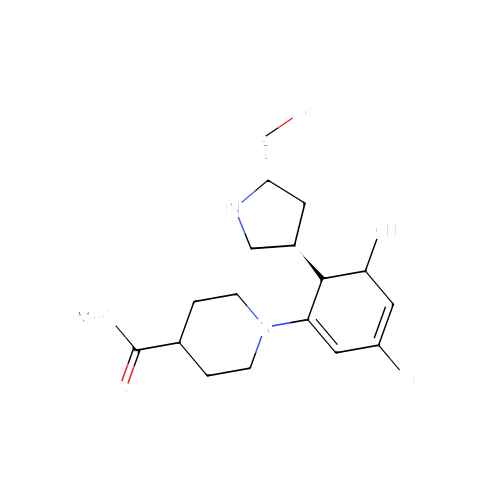 COC(=O)C1CCN(C2=CC(C(F)(F)F)=CC(C)C2[C@H]2CN[C@H](CO)C2)CC1